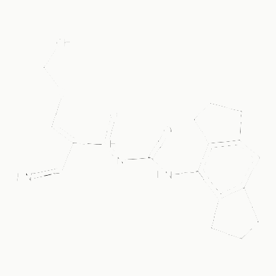 CCO/C=C(C=N)\[SH](=O)=N\C(=O)Nc1c2c(cc3c1CCC3)CCC2